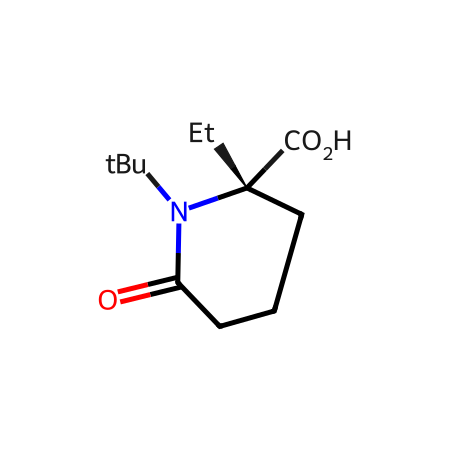 CC[C@@]1(C(=O)O)CCCC(=O)N1C(C)(C)C